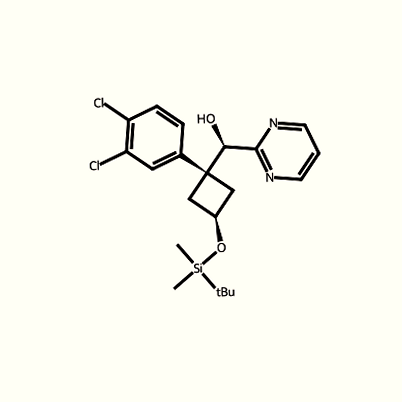 CC(C)(C)[Si](C)(C)O[C@H]1C[C@](c2ccc(Cl)c(Cl)c2)([C@@H](O)c2ncccn2)C1